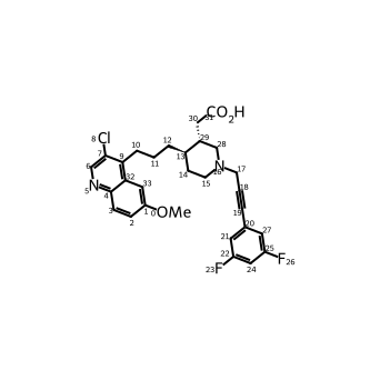 COc1ccc2ncc(Cl)c(CCC[C@@H]3CCN(CC#Cc4cc(F)cc(F)c4)C[C@H]3CC(=O)O)c2c1